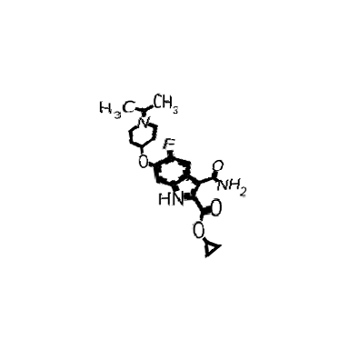 CC(C)N1CCC(Oc2cc3[nH]c(C(=O)OC4CC4)c(C(N)=O)c3cc2F)CC1